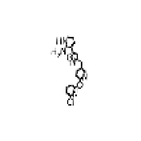 NC1NC=CC=C1c1cc(Cc2ccc(Oc3cccc(Cl)n3)nc2)no1